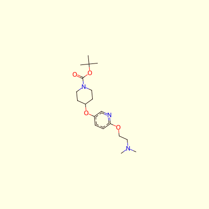 CN(C)CCOc1ccc(OC2CCN(C(=O)OC(C)(C)C)CC2)cn1